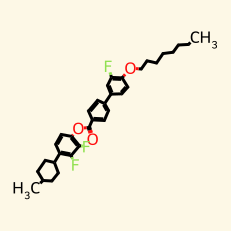 CCCCCCCCOc1ccc(-c2ccc(C(=O)Oc3ccc(C4CCC(C)CC4)c(F)c3F)cc2)cc1F